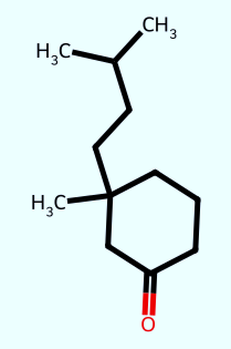 CC(C)CCC1(C)CCCC(=O)C1